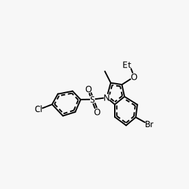 [CH2]COc1c(C)n(S(=O)(=O)c2ccc(Cl)cc2)c2ccc(Br)cc12